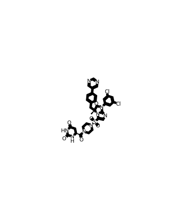 C[C@@]1(Cc2ccc(-c3cncnc3)cc2)C(=O)N(c2cc(Cl)cc(Cl)c2)c2ncc(S(=O)(=O)N3CCN(C(=O)[C@@H]4CC(=O)NC(=O)N4)CC3)n21